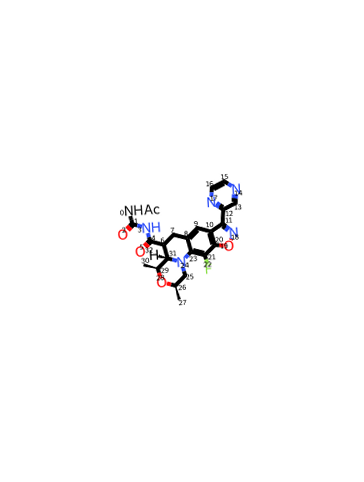 CC(=O)NC(=O)NC(=O)C1Cc2cc3c(-c4cnccn4)noc3c(F)c2N2C[C@@H](C)O[C@@H](C)[C@H]12